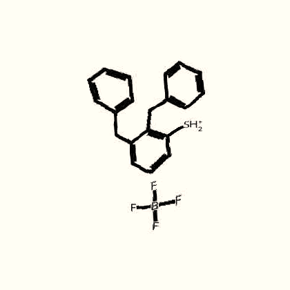 F[B-](F)(F)F.[SH2+]c1cccc(Cc2ccccc2)c1Cc1ccccc1